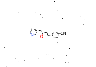 N#Cc1ccc(C=CC(=O)Cc2cccnc2)cc1